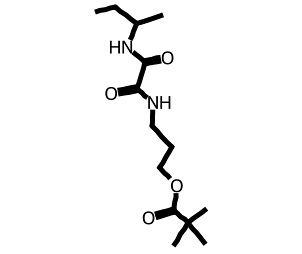 CCC(C)NC(=O)C(=O)NCCCOC(=O)C(C)(C)C